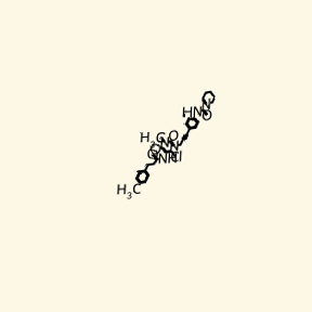 Cc1ccc(CCC(=O)Nc2c(Cl)n(CC#Cc3ccc(NC(=O)N4CCCCC4)cc3)c(=O)n(C)c2=O)cc1